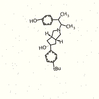 CC(c1ccc(O)cc1)C(C)N1C[C@@H]2C[C@@](O)(c3ccc(C(C)(C)C)cc3)C[C@@H]2C1